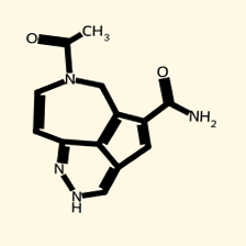 CC(=O)N1C=Cc2n[nH]cc3cc(C(N)=O)c(c2-3)C1